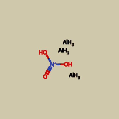 O=[N+](O)O.[AlH3].[AlH3].[AlH3]